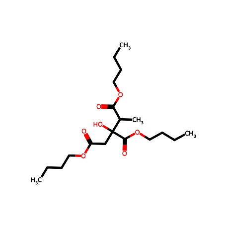 CCCCOC(=O)CC(O)(C(=O)OCCCC)C(C)C(=O)OCCCC